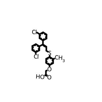 Cc1cc(OCC(=O)O)ccc1SCC=C(c1cccc(Cl)c1)c1cccc(Cl)c1